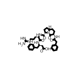 N=C(N)NCCC[C@@H](NC(=O)[C@@H]1CC[C@@H]2CC[C@H](NC(=O)Cc3ccccc3)C(=O)N21)C(=O)N[C@@H](CC(=O)O)Cc1ccccc1